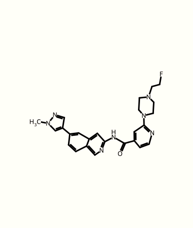 Cn1cc(-c2ccc3cnc(NC(=O)c4ccnc(N5CCN(CCF)CC5)c4)cc3c2)cn1